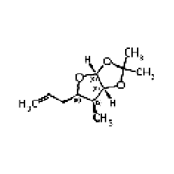 C=CC[C@H]1O[C@@H]2OC(C)(C)O[C@@H]2[C@H]1C